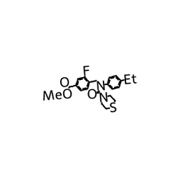 CCc1ccc(N(Cc2ccc(C(=O)OC)cc2F)C(=O)N2CCSCC2)cc1